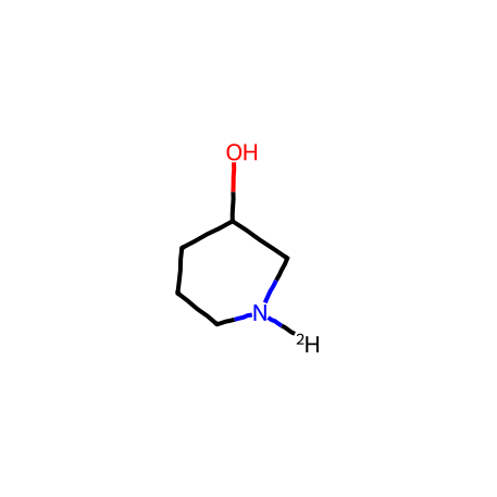 [2H]N1CCCC(O)C1